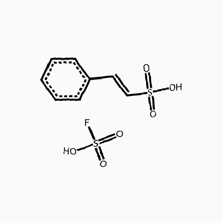 O=S(=O)(O)C=Cc1ccccc1.O=S(=O)(O)F